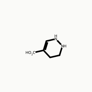 O=C(O)C1=CNNCC1